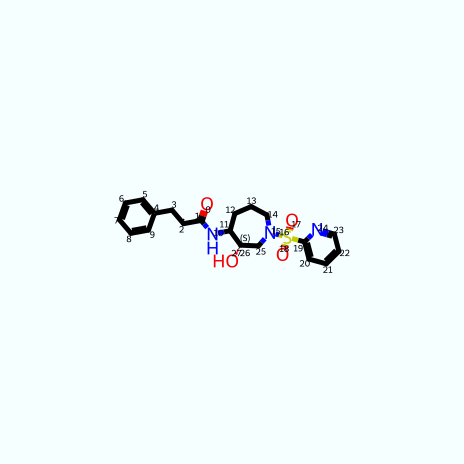 O=C([CH]Cc1ccccc1)NC1CCCN(S(=O)(=O)c2ccccn2)C[C@@H]1O